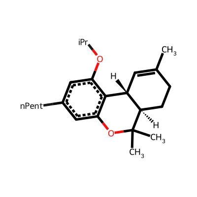 CCCCCc1cc(OC(C)C)c2c(c1)OC(C)(C)[C@@H]1CCC(C)=C[C@@H]21